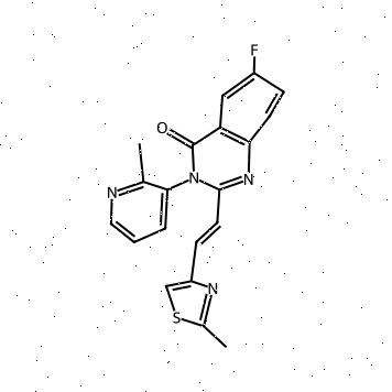 Cc1nc(C=Cc2nc3ccc(F)cc3c(=O)n2-c2cccnc2C)cs1